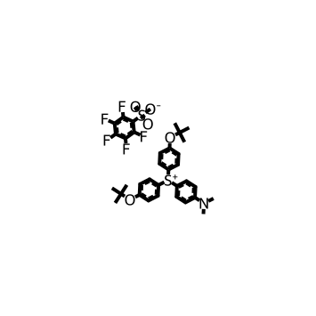 CN(C)c1ccc([S+](c2ccc(OC(C)(C)C)cc2)c2ccc(OC(C)(C)C)cc2)cc1.O=S(=O)([O-])c1c(F)c(F)c(F)c(F)c1F